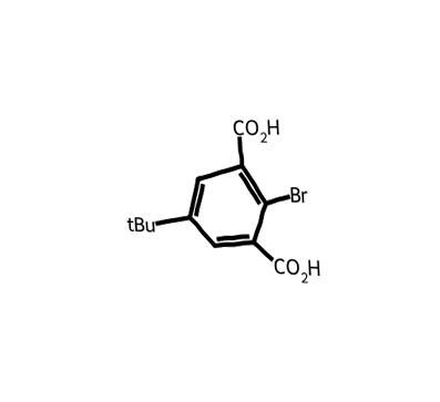 CC(C)(C)c1cc(C(=O)O)c(Br)c(C(=O)O)c1